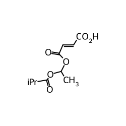 CC(OC(=O)C=CC(=O)O)OC(=O)C(C)C